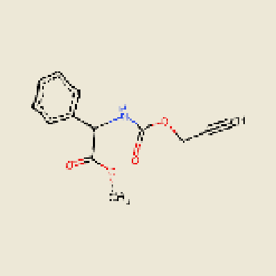 C#CCOC(=O)NC(C(=O)OC)c1ccccc1